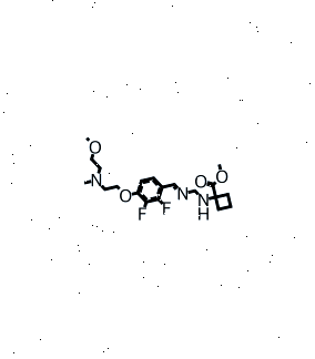 COCCN(C)CCOc1ccc(/C=N/CNC2(C(=O)OC)CCC2)c(F)c1F